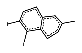 Cc1ccc2c(I)c(I)ccc2c1